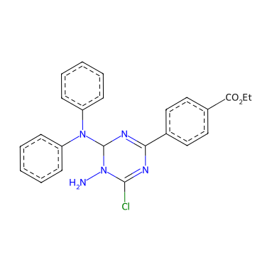 CCOC(=O)c1ccc(C2=NC(N(c3ccccc3)c3ccccc3)N(N)C(Cl)=N2)cc1